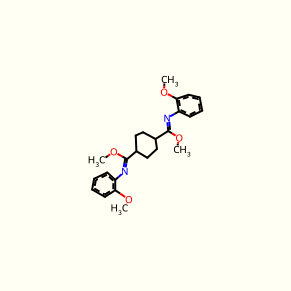 CO/C(=N\c1ccccc1OC)C1CCC(/C(=N/c2ccccc2OC)OC)CC1